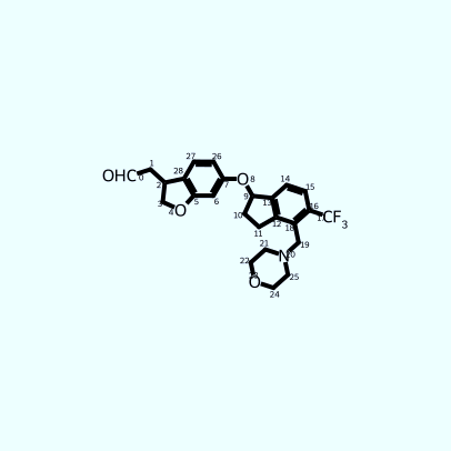 O=CCC1COc2cc(OC3CCc4c3ccc(C(F)(F)F)c4CN3CCOCC3)ccc21